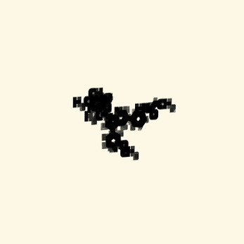 C=CC(=O)Nc1cccc(-c2cnc3c(c2)c(-c2ccnc(OC)c2)cn3C(C)OP(=O)(O)OC(C)(C)C)c1